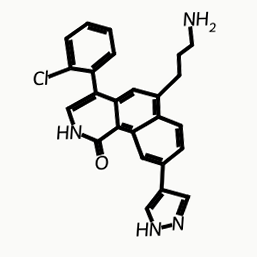 NCCCc1cc2c(-c3ccccc3Cl)c[nH]c(=O)c2c2cc(-c3cn[nH]c3)ccc12